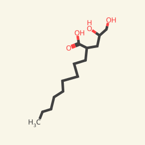 CCCCCCCCCC(CC(O)CO)C(=O)O